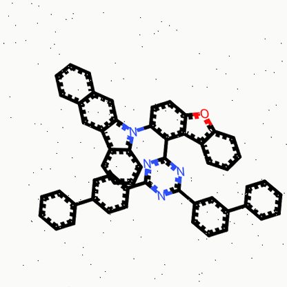 c1ccc(-c2ccc(-c3nc(-c4cccc(-c5ccccc5)c4)nc(-c4c(-n5c6ccccc6c6cc7ccccc7cc65)ccc5oc6ccccc6c45)n3)cc2)cc1